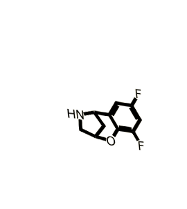 Fc1cc(F)c2c(c1)C1CC(CN1)O2